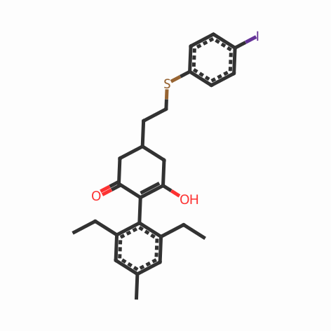 CCc1cc(C)cc(CC)c1C1=C(O)CC(CCSc2ccc(I)cc2)CC1=O